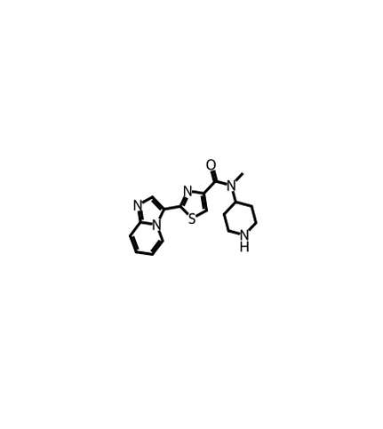 CN(C(=O)c1csc(-c2cnc3ccccn23)n1)C1CCNCC1